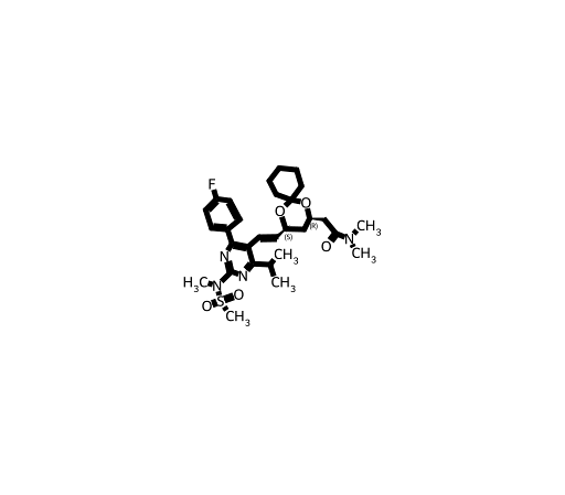 CC(C)c1nc(N(C)S(C)(=O)=O)nc(-c2ccc(F)cc2)c1C=C[C@@H]1C[C@H](CC(=O)N(C)C)OC2(CCCCC2)O1